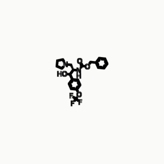 O=C(N[C@H](CN1CCCC1)C(O)c1ccc(OC(F)(F)F)cc1)OCc1ccccc1